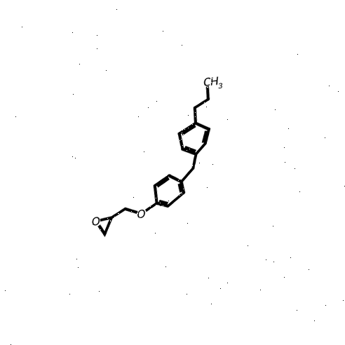 CCCc1ccc(Cc2ccc(OCC3CO3)cc2)cc1